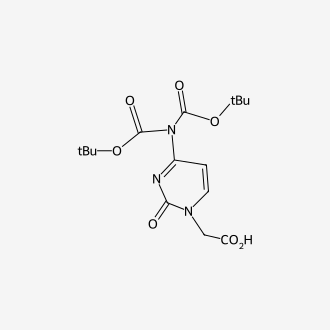 CC(C)(C)OC(=O)N(C(=O)OC(C)(C)C)c1ccn(CC(=O)O)c(=O)n1